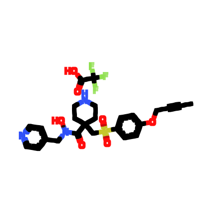 CC#CCOc1ccc(S(=O)(=O)CC2(C(=O)N(O)Cc3ccncc3)CCNCC2)cc1.O=C(O)C(F)(F)F